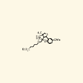 CCOC(=O)CCCCOCC(C)(C)C1=C(c2cccc(OC)c2)OCC1(C)C